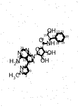 Cn1ccc(-c2cn([C@@H]3O[C@H](C(=O)N[C@@H](CO)c4ccccc4)[C@@H](O)[C@H]3O)c3ncnc(N)c23)n1